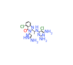 CC(Nc1nc(N)nc(N)c1Cl)c1nc2cccc(Cl)c2c(=O)n1-c1cc(N)[nH]n1